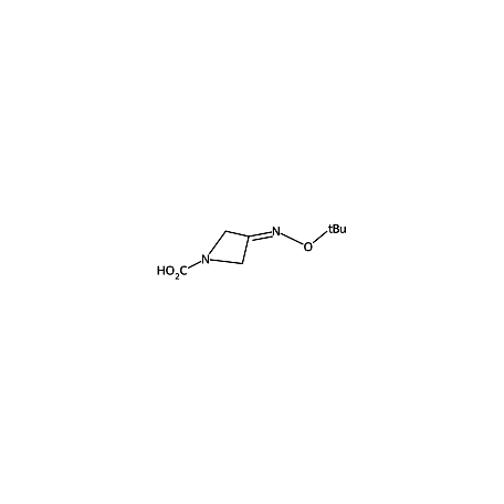 CC(C)(C)ON=C1CN(C(=O)O)C1